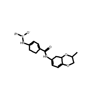 CC1COC2=CC=C(NC(=O)C3=CC=C(N[S+]([O-])C(C)C)CC3)CC2O1